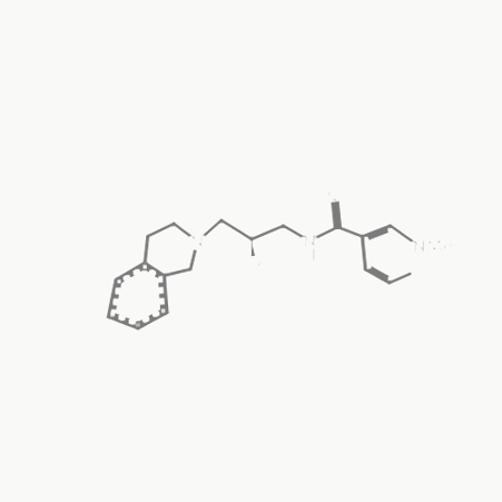 C/C=C\C(=C/NC)C(=O)NC[C@@H](O)CN1CCc2ccccc2C1